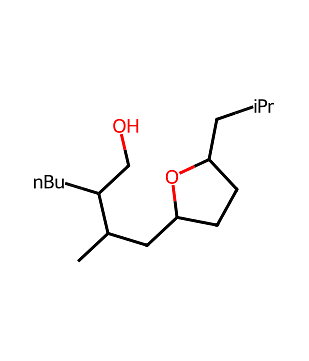 CCCCC(CO)C(C)CC1CCC(CC(C)C)O1